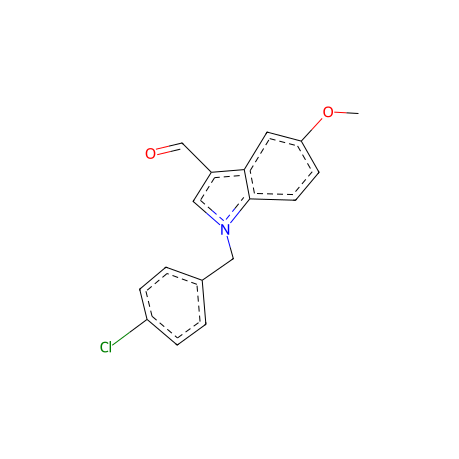 COc1ccc2c(c1)c(C=O)cn2Cc1ccc(Cl)cc1